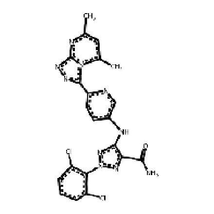 Cc1cc(C)n2c(-c3ccc(Nc4nn(-c5c(Cl)cccc5Cl)nc4C(N)=O)cn3)nnc2n1